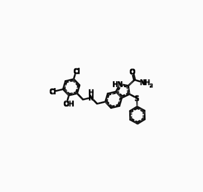 NC(=O)c1[nH]c2cc(CNCc3cc(Cl)cc(Cl)c3O)ccc2c1Sc1ccccc1